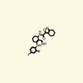 N=CC1=C(Nc2ccc(F)cc2F)CCCC1NC(=O)c1onc2c1CCCC2